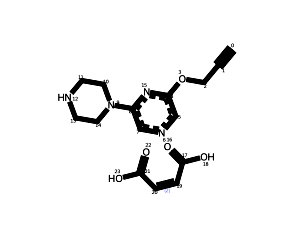 C#CCOc1cncc(N2CCNCC2)n1.O=C(O)/C=C\C(=O)O